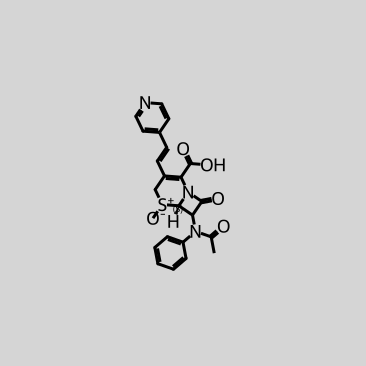 CC(=O)N(c1ccccc1)C1C(=O)N2C(C(=O)O)=C(C=Cc3ccncc3)C[S+]([O-])[C@@H]12